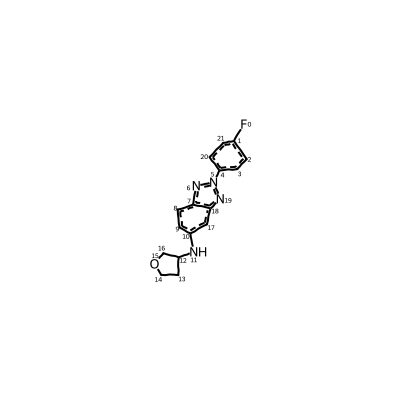 Fc1ccc(-n2nc3ccc(NC4CCOC4)cc3n2)cc1